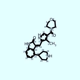 Cc1c(C(=O)N2CCOCC2)c[nH]c1C=C1C(=O)Nc2cccc(C3CCNCC3)c21